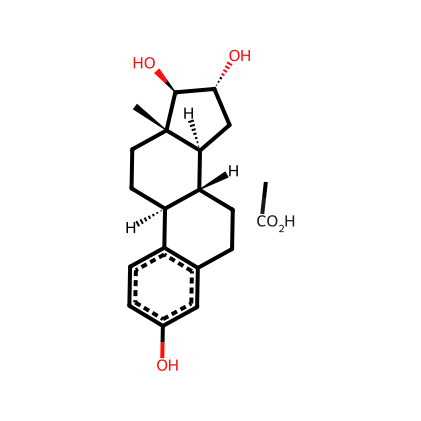 CC(=O)O.C[C@]12CC[C@@H]3c4ccc(O)cc4CC[C@H]3[C@@H]1C[C@@H](O)[C@@H]2O